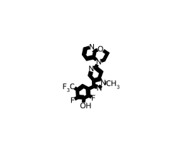 Cn1nc(-c2cc(C(F)(F)F)c(F)c(O)c2F)c2cnc(N3CCOc4ncccc43)cc21